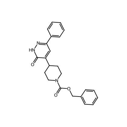 O=C(OCc1ccccc1)N1CCC(c2cc(-c3ccccc3)n[nH]c2=O)CC1